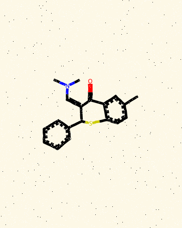 Cc1ccc2c(c1)C(=O)C(=CN(C)C)C(c1ccccc1)S2